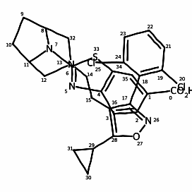 O=C(O)c1ccc2nc(N3C4CCC3CN(CCc3c(-c5c(Cl)cccc5Cl)noc3C3CC3)C4)sc2c1